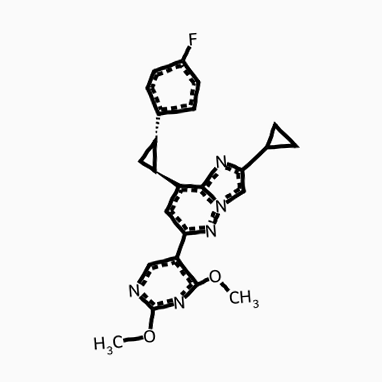 COc1ncc(-c2cc([C@H]3C[C@@H]3c3ccc(F)cc3)c3nc(C4CC4)cn3n2)c(OC)n1